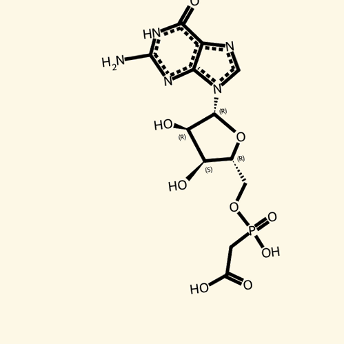 Nc1nc2c(ncn2[C@@H]2O[C@H](COP(=O)(O)CC(=O)O)[C@@H](O)[C@H]2O)c(=O)[nH]1